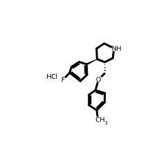 Cc1ccc(OC[C@H]2CNCC[C@@H]2c2ccc(F)cc2)cc1.Cl